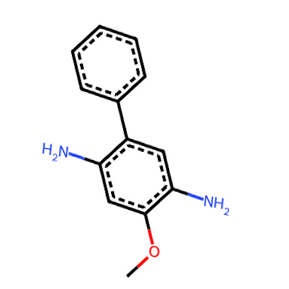 COc1cc(N)c(-c2ccccc2)cc1N